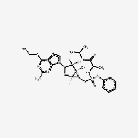 CCOc1nc(N)nc2c1ncn2[C@@H]1O[C@]2(F)C(OP(=O)(NC(C)C(=O)OC(C)C)Oc3ccccc3)[C@]2(O)[C@@]1(C)F